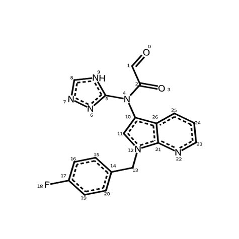 O=CC(=O)N(c1nnc[nH]1)c1cn(Cc2ccc(F)cc2)c2ncccc12